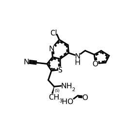 C[C@H](N)Cc1sc2c(NCc3ccco3)cc(Cl)nc2c1C#N.O=CO